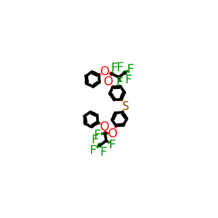 FC(C(F)(F)F)C(F)(Oc1ccccc1)Oc1ccc(Sc2ccc(OC(F)(Oc3ccccc3)C(F)C(F)(F)F)cc2)cc1